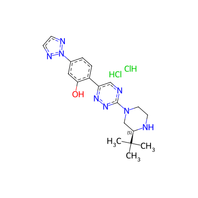 CC(C)(C)[C@H]1CN(c2ncc(-c3ccc(-n4nccn4)cc3O)nn2)CCN1.Cl.Cl